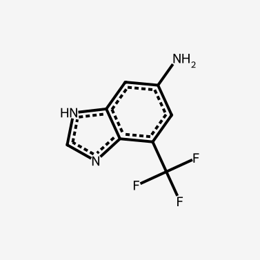 Nc1cc(C(F)(F)F)c2nc[nH]c2c1